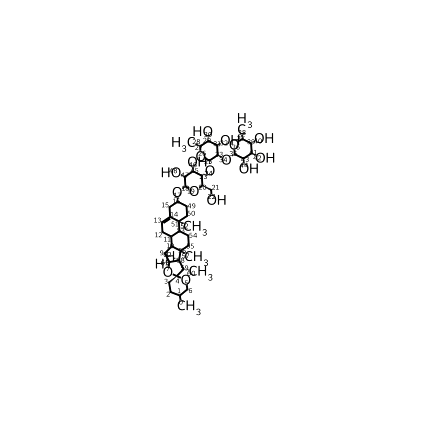 CC1CC[C@@]2(OC1)O[C@H]1CC3C4CC=C5C[C@@H](O[C@@H]6O[C@H](CO)[C@@H](O[C@@H]7O[C@@H](C)[C@H](O)[C@@H](O)[C@H]7O[C@@H]7O[C@@H](C)[C@H](O)[C@@H](O)[C@H]7O)[C@H](O)[C@H]6O)CC[C@]5(C)C4CC[C@]3(C)[C@H]1[C@@H]2C